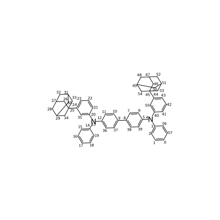 c1ccc(N(c2ccc(-c3ccc(N(c4ccccc4)c4cccc(C56CC7CC(CC(C7)C5)C6)c4)cc3)cc2)c2cccc(C34CC5CC(CC(C5)C3)C4)c2)cc1